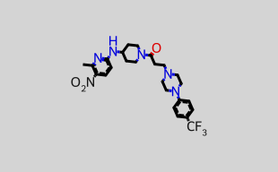 Cc1nc(NC2CCN(C(=O)CCN3CCN(c4ccc(C(F)(F)F)cc4)CC3)CC2)ccc1[N+](=O)[O-]